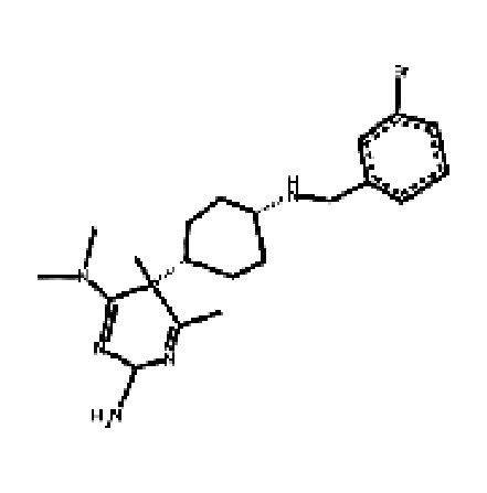 CC1=NC(N)N=C(N(C)C)C1(C)[C@H]1CC[C@@H](NCc2cccc(Br)c2)CC1